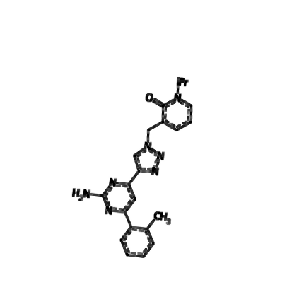 Cc1ccccc1-c1cc(-c2cn(Cc3cccn(C(C)C)c3=O)nn2)nc(N)n1